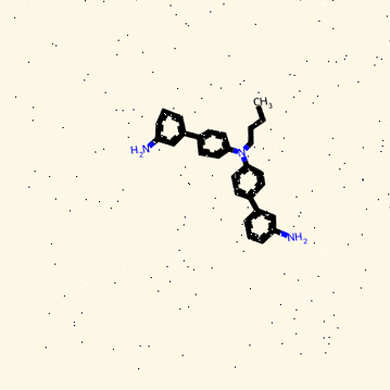 CCCCN(c1ccc(-c2cccc(N)c2)cc1)c1ccc(-c2cccc(N)c2)cc1